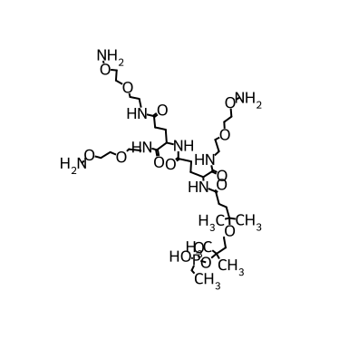 CCP(=O)(O)OC(C)(C)CCOC(C)(C)CCC(=O)NC(CCC(=O)NC(CCC(=O)NCCOCCON)C(=O)NCCOCCON)C(=O)NCCOCCON